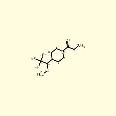 CCC(=O)N1CCC(C(OC)C(F)(F)F)CC1